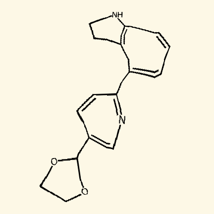 c1cc2c(c(-c3ccc(C4OCCO4)cn3)c1)CCN2